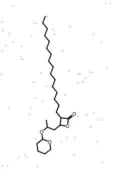 CCCCCCCCCCCCCCCCC1C(=O)OC1CC(C)OC1CCCCO1